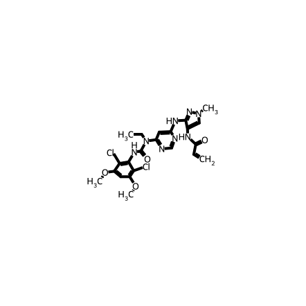 C=CC(=O)Nc1cn(C)nc1Nc1cc(N(CC)C(=O)Nc2c(Cl)c(OC)cc(OC)c2Cl)ncn1